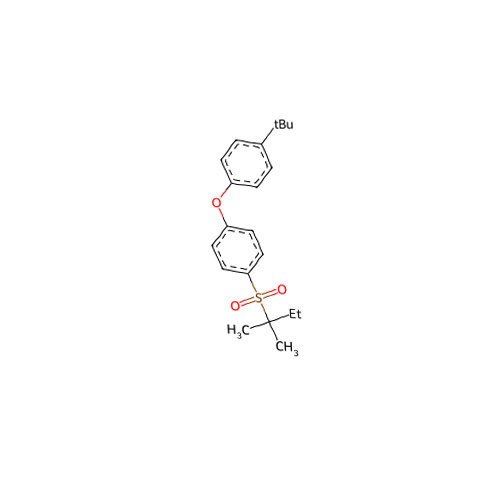 CCC(C)(C)S(=O)(=O)c1ccc(Oc2ccc(C(C)(C)C)cc2)cc1